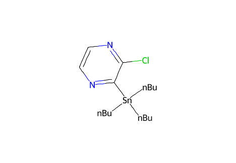 CCC[CH2][Sn]([CH2]CCC)([CH2]CCC)[c]1nccnc1Cl